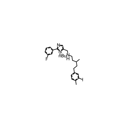 CCCCn1c(CNCCC(C)CCc2ccc(C)c(I)c2)cnc1-c1cccc(F)c1